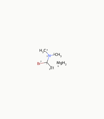 CCC(Br)N(C)C.[MgH2]